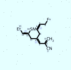 C=C(C#N)/C=C(\C/C=C\CF)C/C(=C/CC)SC